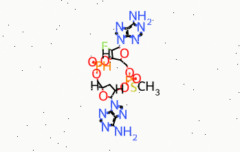 CS[P@]1(=O)OCC2O[C@@H](n3cnc4c(N)ncnc43)[C@H](F)[C@@H]2O[PH](=O)OC[C@@H]2C[C@@H](O1)[C@H](n1cnc3c(N)ncnc31)O2